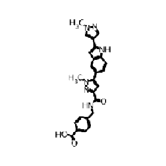 Cn1cc(-c2cc3cc(-c4cc(C(=O)NCc5ccc(C(=O)O)cc5)nn4C)ccc3[nH]2)cn1